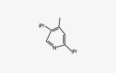 Cc1cc(C(C)C)ncc1C(C)C